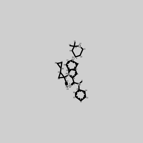 CN(C(=O)c1cc2cc([C@H]3CCOC(C)(C)C3)ccc2n1C1(C#N)CC1C1CC1)c1ccccc1